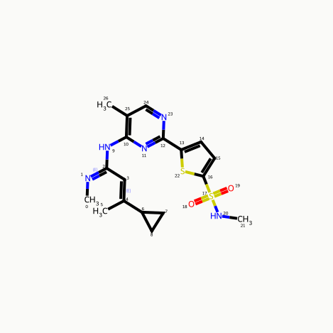 C/N=C(\C=C(/C)C1CC1)Nc1nc(-c2ccc(S(=O)(=O)NC)s2)ncc1C